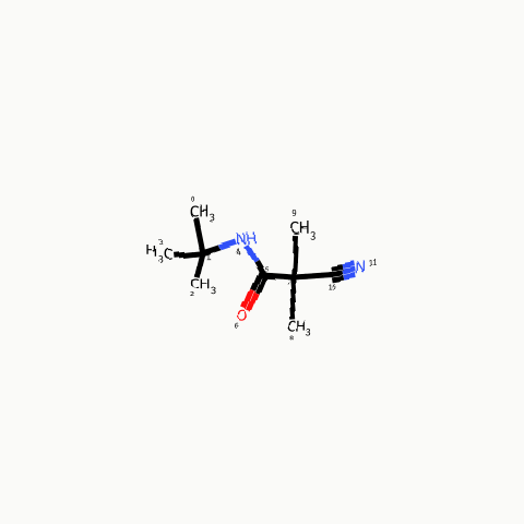 CC(C)(C)NC(=O)C(C)(C)C#N